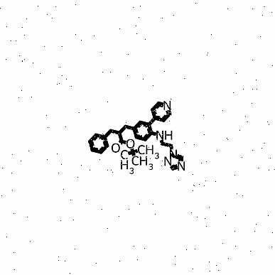 CC(C)(C)OC(=O)C(Cc1ccccc1)Cc1ccc(NCCn2cncn2)c(-c2ccncc2)c1